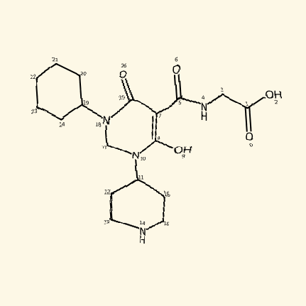 O=C(O)CNC(=O)C1=C(O)N(C2CCNCC2)CN(C2CCCCC2)C1=O